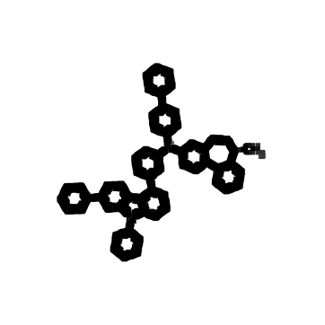 C[C@H]1C=Cc2cc(N(c3ccc(-c4ccccc4)cc3)c3cccc(-c4cccc5c4c4ccc(-c6ccccc6)cc4n5-c4ccccc4)c3)ccc2-c2ccccc21